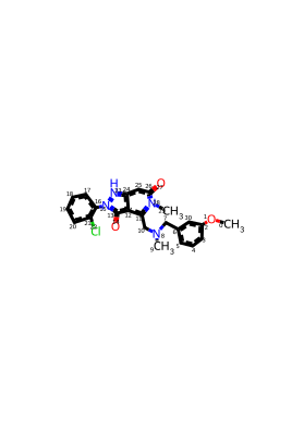 COc1cccc(CN(C)Cc2c3c(=O)n(-c4ccccc4Cl)[nH]c3cc(=O)n2C)c1